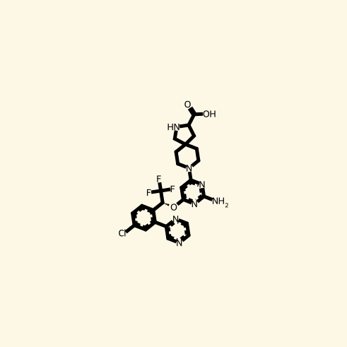 Nc1nc(O[C@H](c2ccc(Cl)cc2-c2cnccn2)C(F)(F)F)cc(N2CCC3(CC2)CNC(C(=O)O)C3)n1